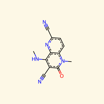 CNc1c(C#N)c(=O)n(C)c2ccc(C#N)nc12